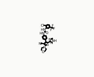 N#Cc1c(N2CCOCC2)sc(-c2nc[nH]n2)c1-c1ccc(NC(=O)Nc2cc(C(F)(F)F)ccc2Cl)cc1